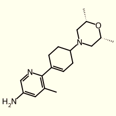 Cc1cc(N)cnc1C1=CCC(N2C[C@@H](C)O[C@@H](C)C2)CC1